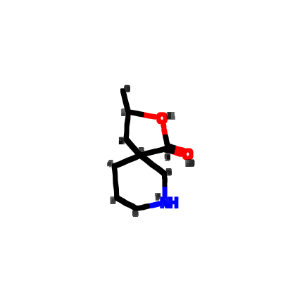 CC1CC2(CCCNC2)C(=O)O1